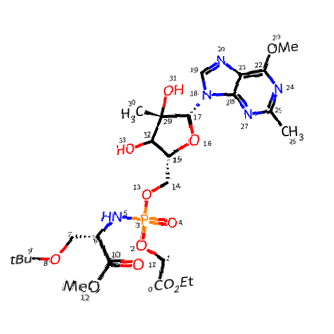 CCOC(=O)COP(=O)(N[C@@H](COC(C)(C)C)C(=O)OC)OC[C@H]1O[C@@H](n2cnc3c(OC)nc(C)nc32)[C@@](C)(O)C1O